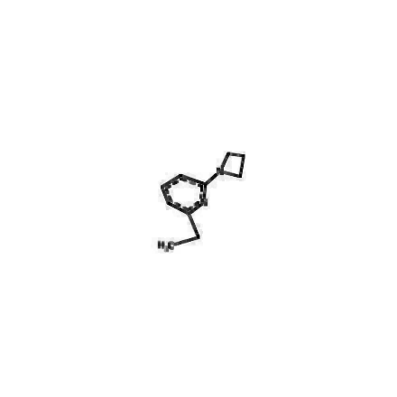 CCc1cccc(N2CCC2)n1